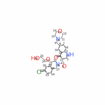 O=C(c1c[nH]c2ccc(CN3CCOCC3)cc2c1=O)N(CCOCCO)Cc1ccc(Cl)cc1